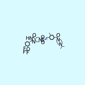 Cc1cc(C(=O)N2CCN(C(C)C)CC2)ccc1/C=C/S(=O)(=O)N1CCC2(CC1)N=C(c1cccc(OC(F)(F)F)c1)NC2=O